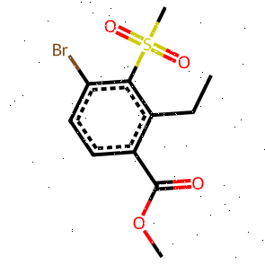 CCc1c(C(=O)OC)ccc(Br)c1S(C)(=O)=O